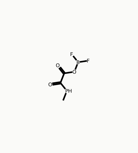 CPC(=O)C(=O)OB(F)F